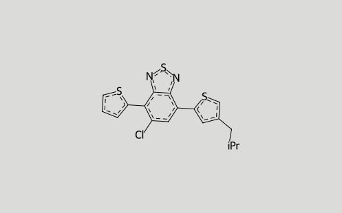 CC(C)Cc1csc(-c2cc(Cl)c(-c3cccs3)c3nsnc23)c1